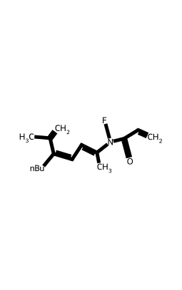 C=CC(=O)N(F)/C(C)=C/C=C(/CCCC)C(=C)C